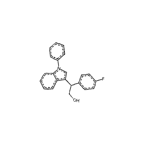 OCC(c1ccc(F)cc1)c1cn(-c2ccccc2)c2ccccc12